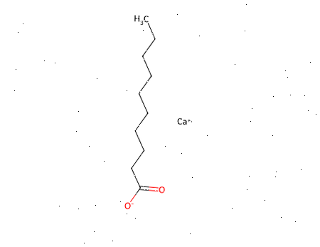 CCCCCCCCCC(=O)[O-].[Ca+]